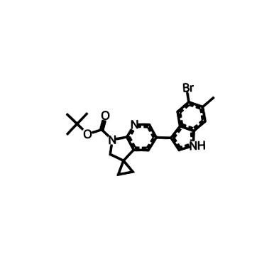 Cc1cc2[nH]cc(-c3cnc4c(c3)C3(CC3)CN4C(=O)OC(C)(C)C)c2cc1Br